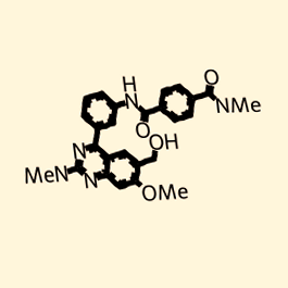 CNC(=O)c1ccc(C(=O)Nc2cccc(-c3nc(NC)nc4cc(OC)c(CO)cc34)c2)cc1